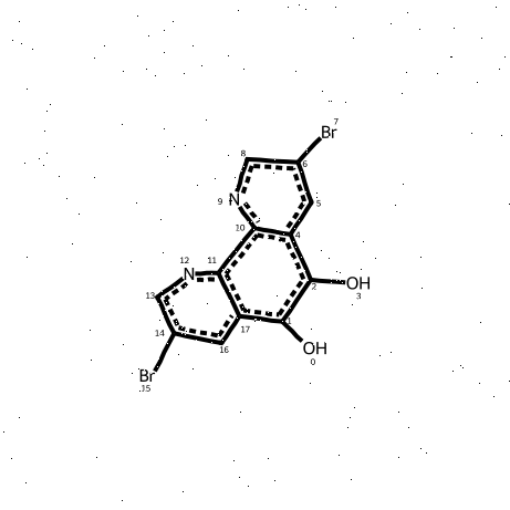 Oc1c(O)c2cc(Br)cnc2c2ncc(Br)cc12